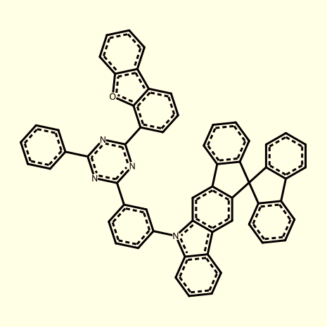 c1ccc(-c2nc(-c3cccc(-n4c5ccccc5c5cc6c(cc54)-c4ccccc4C64c5ccccc5-c5ccccc54)c3)nc(-c3cccc4c3oc3ccccc34)n2)cc1